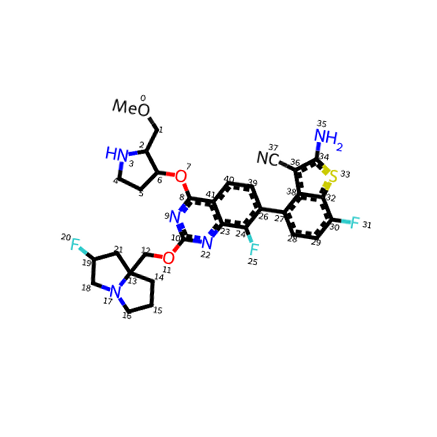 COCC1NCCC1Oc1nc(OCC23CCCN2CC(F)C3)nc2c(F)c(-c3ccc(F)c4sc(N)c(C#N)c34)ccc12